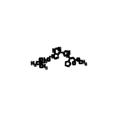 COC(=O)C=C(C1CCCC1)n1cc(-c2ncnc3c2ccn3COCC[Si](C)(C)C)cn1